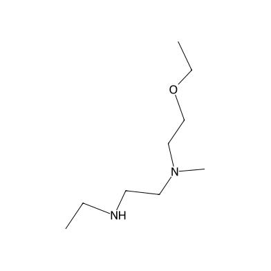 CCNCCN(C)CCOCC